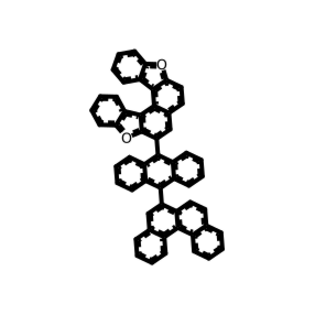 c1ccc2c(c1)ccc1c(-c3c4ccccc4c(-c4cc5ccc6oc7ccccc7c6c5c5c4oc4ccccc45)c4ccccc34)cc3ccccc3c12